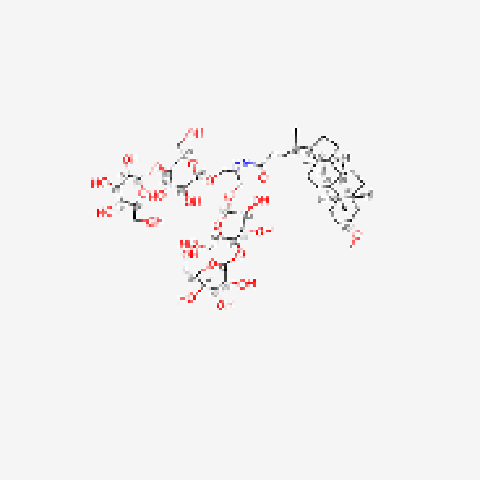 CO[C@@H]1CC[C@@]2(C)[C@H](CC[C@@H]3[C@@H]2CC[C@]2(C)[C@@H]([C@H](C)CCC(=O)NC(CO[C@H]4O[C@@H](CO)[C@H](O[C@@H]5O[C@@H](CO)[C@H](O)[C@@H](O)[C@@H]5O)[C@@H](O)[C@@H]4O)CO[C@H]4O[C@@H](CO)[C@H](O[C@@H]5O[C@@H](CO)[C@H](O)[C@@H](O)[C@@H]5O)[C@@H](O)[C@@H]4O)CC[C@@H]32)C1